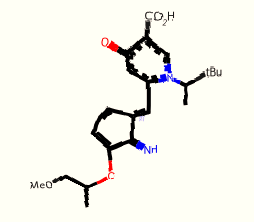 COCC(C)OC1=CC=C/C(=C\c2cc(=O)c(C(=O)O)cn2C(C)C(C)(C)C)C1=N